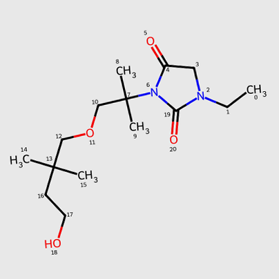 CCN1CC(=O)N(C(C)(C)COCC(C)(C)CCO)C1=O